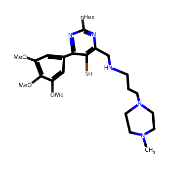 CCCCCCc1nc(CNCCCN2CCN(C)CC2)c(S)c(-c2cc(OC)c(OC)c(OC)c2)n1